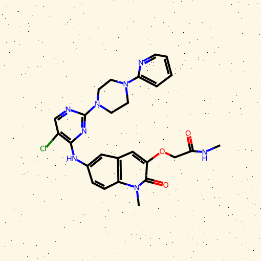 CNC(=O)COc1cc2cc(Nc3nc(N4CCN(c5ccccn5)CC4)ncc3Cl)ccc2n(C)c1=O